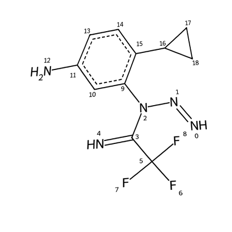 N=NN(C(=N)C(F)(F)F)c1cc(N)ccc1C1CC1